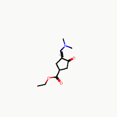 CCOC(=O)C1CC(=O)/C(=C\N(C)C)C1